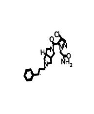 NC(=O)Cn1ncc(Cl)c1C(=O)N1CC2CN(CC[CH]c3ccccc3)C[C@H]2C1